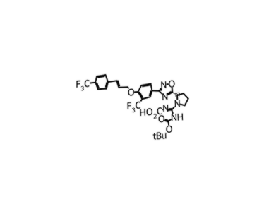 CC(C)(C)OC(=O)NC(=NC(=O)O)N1CCC[C@H]1c1nc(-c2ccc(OCC=Cc3ccc(C(F)(F)F)cc3)c(C(F)(F)F)c2)no1